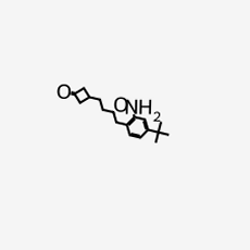 CC(C)(C)c1ccc(CC(=O)CCC2CC(=O)C2)c(N)c1